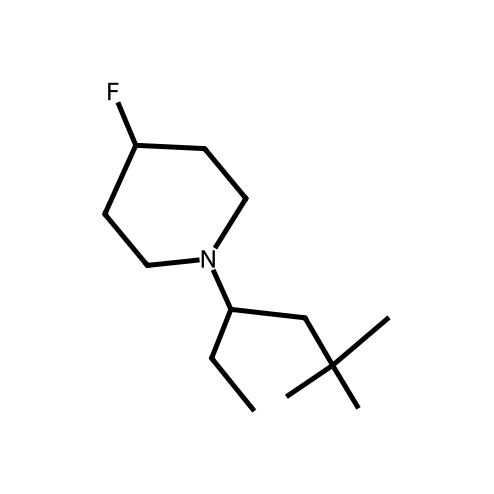 CCC(CC(C)(C)C)N1CCC(F)CC1